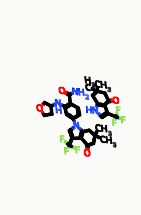 CC1(C)CC(=O)c2c(C(F)(F)F)c[nH]c2C1.CC1(C)CC(=O)c2c(C(F)(F)F)cn(-c3ccc(C(N)=O)c(NC4CCOC4)c3)c2C1